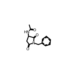 CC(=O)NC1CC(=O)N(Cc2ccccc2)C1=O